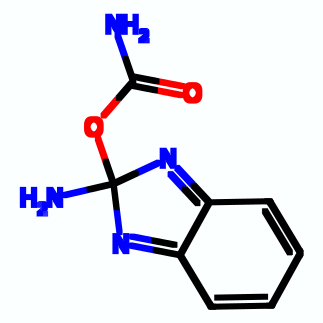 NC(=O)OC1(N)N=c2ccccc2=N1